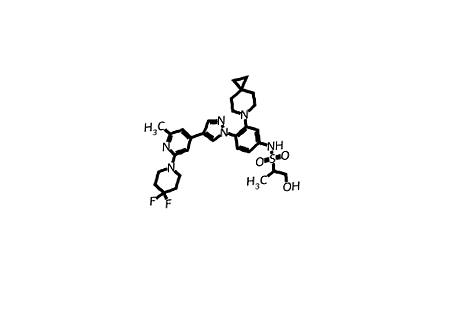 Cc1cc(-c2cnn(-c3ccc(NS(=O)(=O)C(C)CO)cc3N3CCC4(CC3)CC4)c2)cc(N2CCC(F)(F)CC2)n1